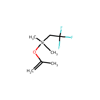 C=C(C)O[Si](C)(C)CC(F)(F)F